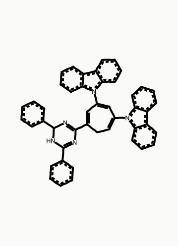 C1=C(C2=NC(c3ccccc3)NC(c3ccccc3)=N2)CC=C(n2c3ccccc3c3ccccc32)C=C1n1c2ccccc2c2ccccc21